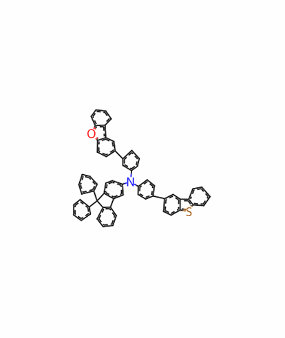 c1ccc(C2(c3ccccc3)c3ccccc3-c3cc(N(c4ccc(-c5ccc6sc7ccccc7c6c5)cc4)c4cccc(-c5ccc6oc7ccccc7c6c5)c4)ccc32)cc1